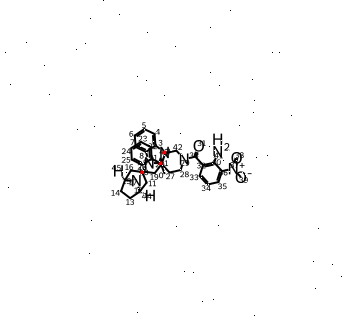 Cc1nc2ccccc2n1[C@H]1C[C@H]2CC[C@@H](C1)N2CCC1(c2ccccc2)CCN(C(=O)c2cccc([N+](=O)[O-])c2N)CC1